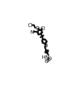 CC(C)(c1ccc(OCC23CC(CNS(C)(=O)=O)(C2)C3)cc1)c1cc(Cl)c(OCCCl)c(C#N)c1